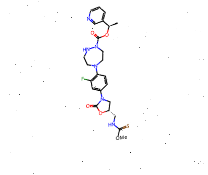 COC(=S)NC[C@H]1CN(c2ccc(N3CCNN(C(=O)O[C@H](C)c4cccnc4)CC3)c(F)c2)C(=O)O1